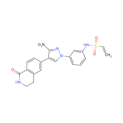 C=CS(=O)(=O)Nc1cccc(-n2cc(-c3ccc4c(c3)CCNC4=O)c([N+](=O)[O-])n2)c1